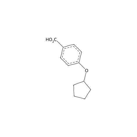 O=C(O)c1ccc(OC2CCCC2)cc1